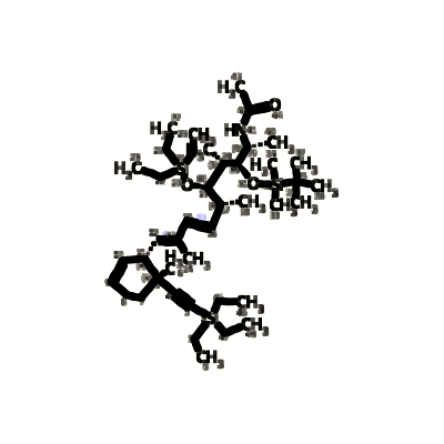 CC[Si](C#C[C@]1(C)CCC=C[C@@H]1/C=C(C)/C=C/[C@@H](C)[C@@H](O[Si](CC)(CC)CC)[C@H](C)[C@H](O[Si](C)(C)C(C)(C)C)[C@@H](C)NC(C)=O)(CC)CC